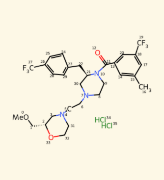 COC[C@@H]1CN(CCN2CCN(C(=O)c3cc(C)cc(C(F)(F)F)c3)[C@H](Cc3ccc(C(F)(F)F)cc3)C2)CCO1.Cl.Cl